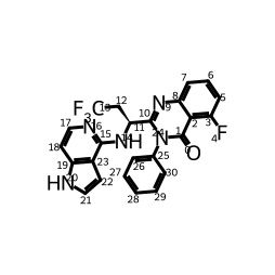 O=c1c2c(F)cccc2nc([C@H](CC(F)(F)F)Nc2nccc3[nH]ccc23)n1-c1ccccc1